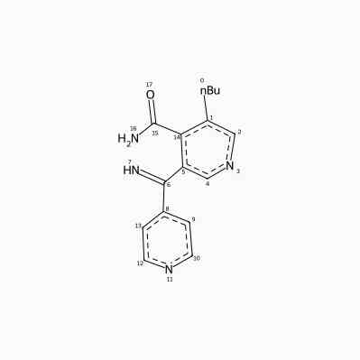 CCCCc1cncc(C(=N)c2ccncc2)c1C(N)=O